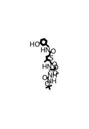 COC(=O)[C@H](CNC(=O)NOC(C)(C)C)NC(=O)c1sc(C(=O)NCc2cccc(O)c2)cc1C